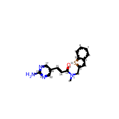 CN(Cc1cc2ccccc2s1)C(=O)C=Cc1cnc(N)nc1